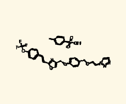 Cc1ccc(S(=O)(=O)O)cc1.FC(F)(F)Oc1ccc(/C=C/c2nc(COc3ccc(COCCn4ccnn4)cc3)co2)cc1